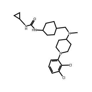 CN(CC1CCC(NC(=O)NC2CC2)CC1)C1CCN(c2cccc(Cl)c2Cl)CC1